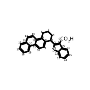 O=C(O)c1c(C2CCCc3c2ccc2c3ccc3ccccc32)sc2ccccc12